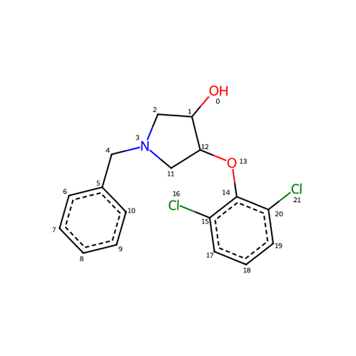 OC1CN(Cc2ccccc2)CC1Oc1c(Cl)cccc1Cl